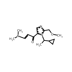 COCc1ncc(C(=O)C=CN(C)C)n1C(C)C1CC1